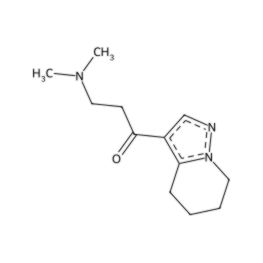 CN(C)CCC(=O)c1cnn2c1CCCC2